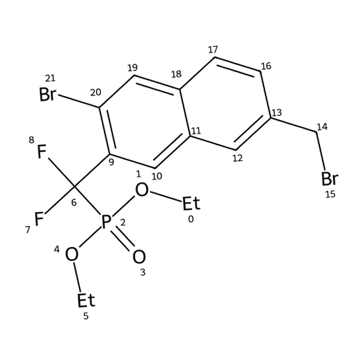 CCOP(=O)(OCC)C(F)(F)c1cc2cc(CBr)ccc2cc1Br